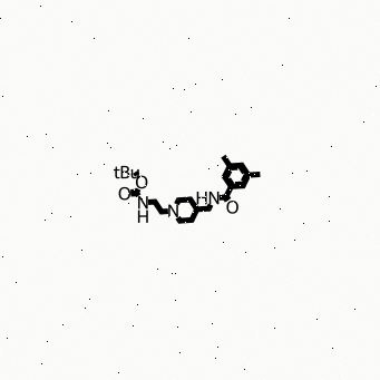 Cc1cc(C)cc(C(=O)NCC2CCN(CCNC(=O)OC(C)(C)C)CC2)c1